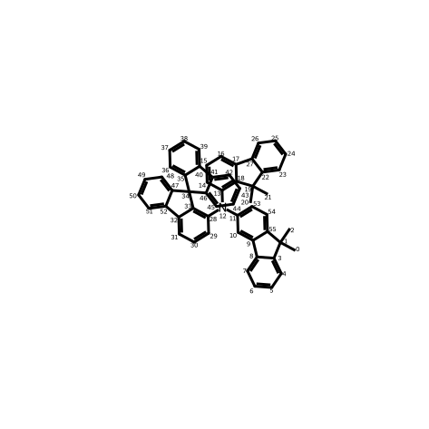 CC1(C)c2ccccc2-c2cc(N(c3cccc4c3C(C)(C)c3ccccc3-4)c3cccc4c3C3(c5ccccc5-c5ccccc53)c3ccccc3-4)ccc21